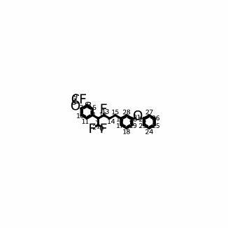 FC(F)C(c1ccc(OC(F)(F)F)cc1)C(F)CCc1cccc(Oc2ccccc2)c1